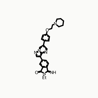 CCN1C(=N)c2ccc(-c3cnn4cc(-c5ccc(OCCN6CCCCC6)cc5)cnc34)cc2C1=O